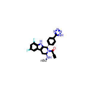 C#CC(=O)N1[C@@H](c2ccc(-c3nnn[nH]3)cc2)c2[nH]c3c(F)cc(F)cc3c2C[C@@H]1NCCCC